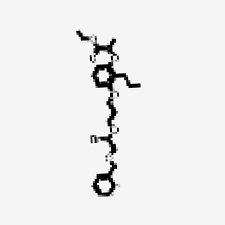 CCCc1c(OCCCOC(Br)COCC2=CC=C[C][C]2)cccc1OC(C)C(=O)OCC